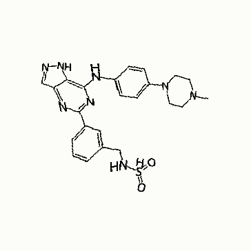 CN1CCN(c2ccc(Nc3nc(-c4cccc(CN[SH](=O)=O)c4)nc4cn[nH]c34)cc2)CC1